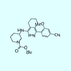 COc1cc(C#N)ccc1-c1nnc(NC2CCCN(C(=O)OC(C)(C)C)C2)c2c1CCCC2